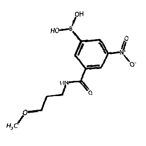 COCCCNC(=O)c1cc(B(O)O)cc([N+](=O)[O-])c1